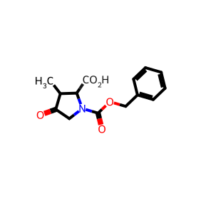 CC1C(=O)CN(C(=O)OCc2ccccc2)C1C(=O)O